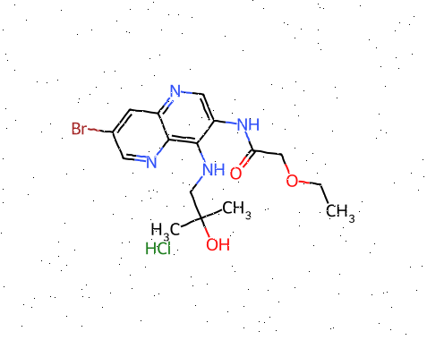 CCOCC(=O)Nc1cnc2cc(Br)cnc2c1NCC(C)(C)O.Cl